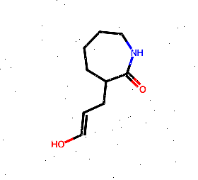 O=C1NCCCCC1CC=CO